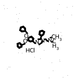 CCN(CC)CCN1CCN(Cc2ccc(OCc3ccccc3)c(OCc3ccccc3)c2)CC1c1ccccc1.Cl